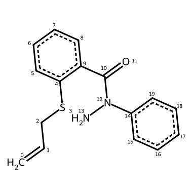 C=CCSc1ccccc1C(=O)N(N)c1ccccc1